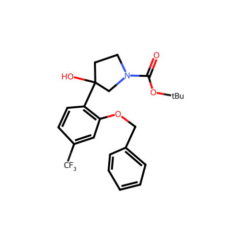 CC(C)(C)OC(=O)N1CCC(O)(c2ccc(C(F)(F)F)cc2OCc2ccccc2)C1